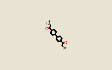 CBCC(=O)c1ccc(-c2ccc(C(=O)CBr)cc2)cc1